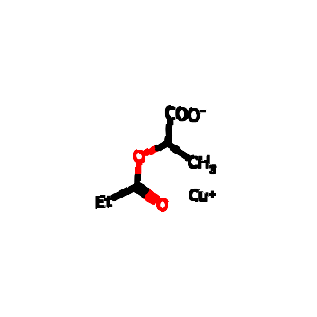 CCC(=O)OC(C)C(=O)[O-].[Cu+]